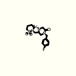 CC(=O)N1CC(=O)N(Cc2ccc(F)cc2)CC1CN1CCCCS1(=O)=O